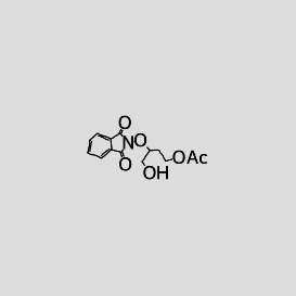 CC(=O)OCCC(CO)ON1C(=O)c2ccccc2C1=O